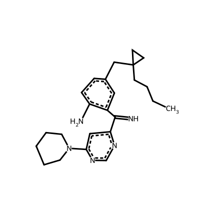 CCCCC1(Cc2ccc(N)c(C(=N)c3cc(N4CCCCC4)ncn3)c2)CC1